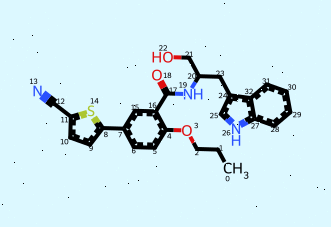 CCCOc1ccc(-c2ccc(C#N)s2)cc1C(=O)NC(CO)Cc1c[nH]c2ccccc12